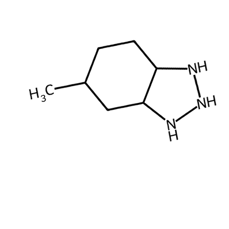 CC1CCC2NNNC2C1